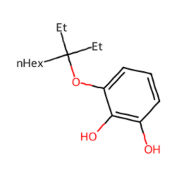 CCCCCCC(CC)(CC)Oc1cccc(O)c1O